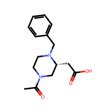 CC(=O)N1CCN(Cc2ccccc2)[C@H](CC(=O)O)C1